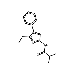 CCc1sc(NC(=O)C(C)C)nc1-c1ccccc1